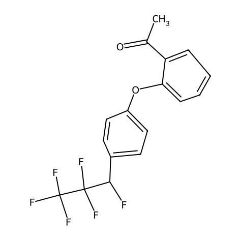 CC(=O)c1ccccc1Oc1ccc(C(F)C(F)(F)C(F)(F)F)cc1